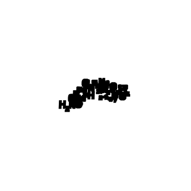 CC(C)[C@@H](C(=O)N(C)c1ccco1)n1cc(CNC(=O)c2ccc(S(N)(=O)=O)cc2)nn1